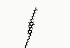 CCCCCCCCCc1ccc2c(c1)sc1c3ccc(CCCCCCCCC)cc3sc21